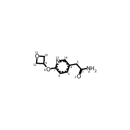 NC(=O)[CH]c1ccc(OC2COC2)nc1